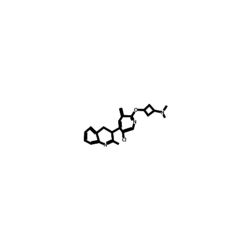 C=C1C=C(C2Cc3ccccc3N=C2C)C(Cl)=CN=C1OC1CC(N(C)C)C1